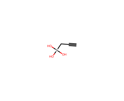 C#CC[Si](O)(O)O